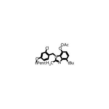 CCCCCOc1ccc(Cn2c(C)nc3c(C(C)(C)C)ccc(OOC(C)=O)c32)c(Cl)c1